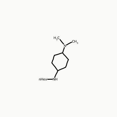 CCCCCCNC1CCC(N(C)C)CC1